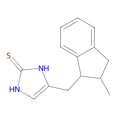 CC1Cc2ccccc2C1Cc1c[nH]c(=S)[nH]1